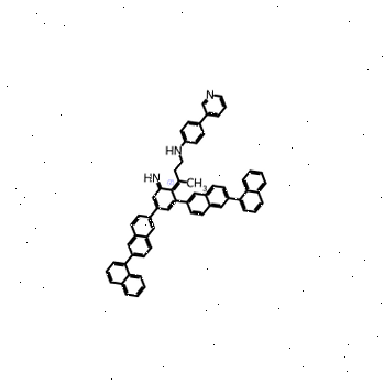 C/C(CCNc1ccc(-c2cccnc2)cc1)=C1/C(=N)C=C(c2ccc3cc(-c4cccc5ccccc45)ccc3c2)C=C1c1ccc2cc(-c3cccc4ccccc34)ccc2c1